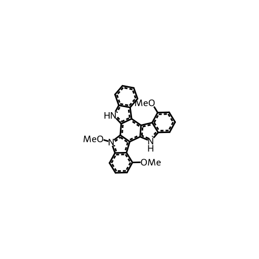 COc1cccc2[nH]c3c(c12)c1c2ccccc2[nH]c1c1c3c2c(OC)cccc2n1OC